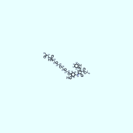 CCOC(=O)C1=C(Nc2ccccc2)S/C(=C\c2ccc(OCCOCCOCCOCCNC(=O)CCC(C)=O)c(O)c2)C1=O